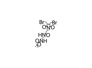 CC(C)(C)OC(=O)NCCNC(=O)CCN1C(=O)C(CBr)=C(CBr)C1=O